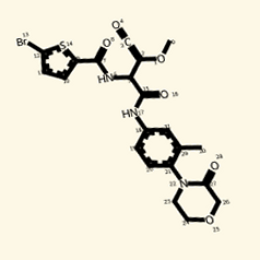 COC(=C=O)C(NC(=O)c1ccc(Br)s1)C(=O)Nc1ccc(N2CCOCC2=O)c(C)c1